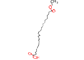 CCOC(=O)CCCCCCCCCCCCCCCCCCCCC(=O)O